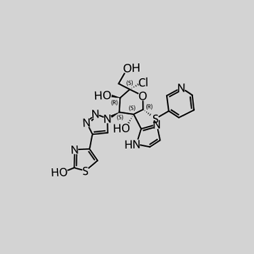 OC[C@@]1(Cl)O[C@H](Sc2cccnc2)[C@@](O)(c2ncc[nH]2)[C@@H](n2cc(-c3csc(O)n3)nn2)[C@H]1O